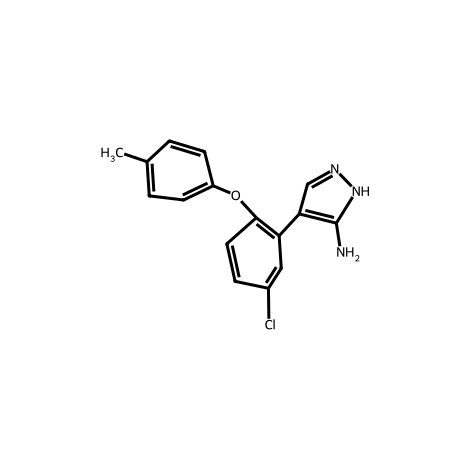 Cc1ccc(Oc2ccc(Cl)cc2-c2cn[nH]c2N)cc1